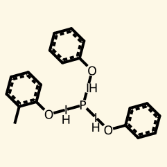 Cc1ccccc1O[IH]P([IH]Oc1ccccc1)[IH]Oc1ccccc1